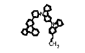 C=CCc1ccc2c(c1)c1ccccc1n2-c1ccc2c(c1)c1ccccc1n2-c1cccc(-c2ccc3c4ccccc4c4ccccc4c3c2)c1